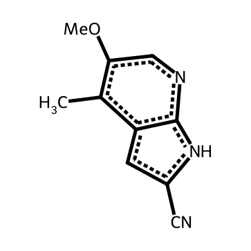 COc1cnc2[nH]c(C#N)cc2c1C